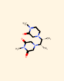 C[C@H]([C@H](C)N1CC(=O)N(C)C(=O)C1)N1CCN(C)C(=O)C1